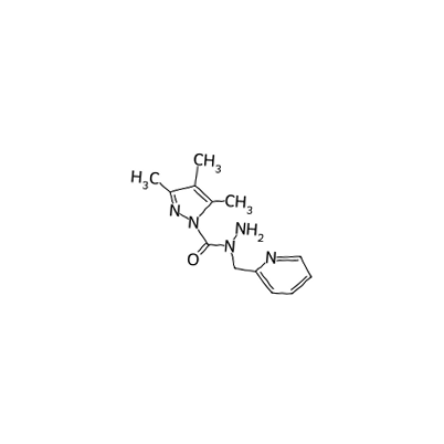 Cc1nn(C(=O)N(N)Cc2ccccn2)c(C)c1C